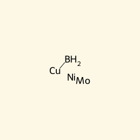 [BH2][Cu].[Mo].[Ni]